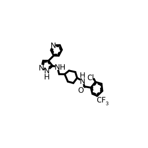 O=C(NC1CCC(CNc2[nH]ncc2-c2cccnc2)CC1)c1cc(C(F)(F)F)ccc1Cl